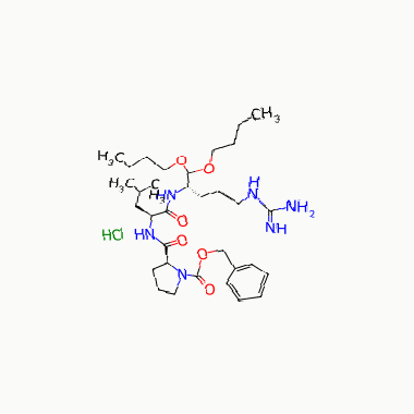 CCCCOC(OCCCC)[C@H](CCCNC(=N)N)NC(=O)[C@H](CC(C)C)NC(=O)[C@@H]1CCCN1C(=O)OCc1ccccc1.Cl